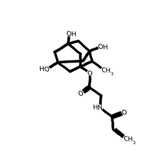 C=CC(=O)NCC(=O)OC12CC3(O)CC(O)(CC(O)(C3)C1C)C2